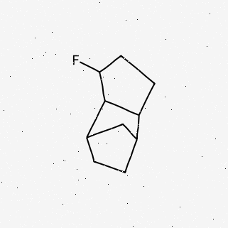 FC1CCC2C3CCC(C3)C12